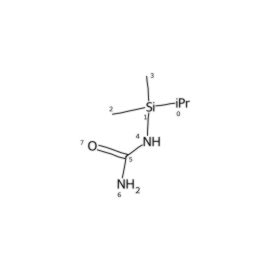 CC(C)[Si](C)(C)NC(N)=O